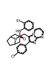 CCc1ccccc1NC(=O)N1C2CCC1CN(Cc1c(-c3ccc(Cl)cc3)nc3ncccn13)C2